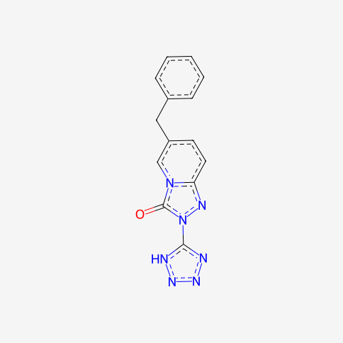 O=c1n(-c2nnn[nH]2)nc2ccc(Cc3ccccc3)cn12